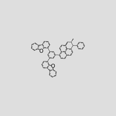 C[C@@H]1C=c2ccc3c(-c4cc(-c5cccc6c5oc5ccccc56)cc(-c5cccc6c5oc5ccccc56)c4)ccc4ccc(c2c43)C1c1ccccc1